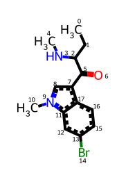 CCC(NC)C(=O)c1cn(C)c2cc(Br)ccc12